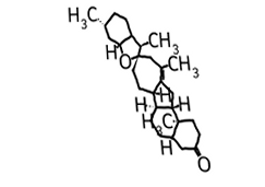 CC1=C2C[C@H]3[C@@H](CC[C@@H]4CC(=O)CC[C@@]43C)[C@@H]2CC[C@@]2(C1)O[C@@H]1C[C@H](C)CCC1[C@H]2C